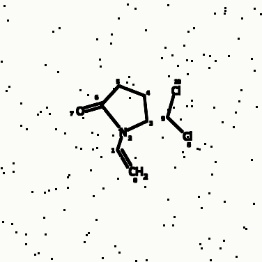 C=CN1CCCC1=O.ClCCl